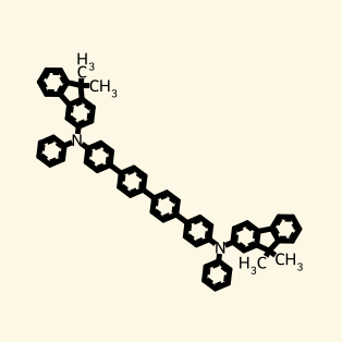 CC1(C)c2ccccc2-c2cc(N(c3ccccc3)c3ccc(-c4ccc(-c5ccc(-c6ccc(N(c7ccccc7)c7ccc8c(c7)C(C)(C)c7ccccc7-8)cc6)cc5)cc4)cc3)ccc21